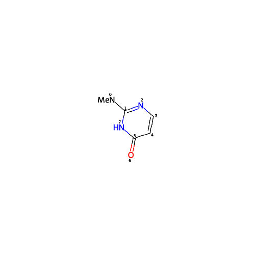 [CH2]Nc1nccc(=O)[nH]1